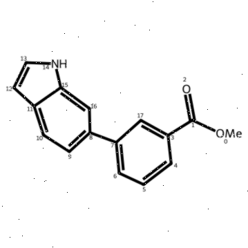 COC(=O)c1cccc(-c2ccc3cc[nH]c3c2)c1